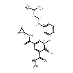 CNC(=O)c1cc(C(=O)NC2CC2)cn(Cc2cccc(OCCN(C)C)c2)c1=O